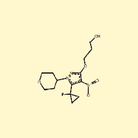 O=[N+]([O-])c1c(OCCCO)nn(C2CCOCC2)c1C1(F)CC1